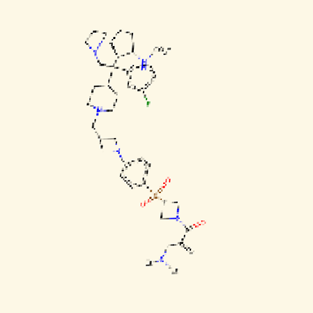 C=C(CN(CC)CC)C(=O)N1CC(S(=O)(=O)c2ccc(N3CC(CN4CCC([C@@](CN5CCC5)(c5cccc(F)c5)[C@H]5CCC[C@@H]5NC(=O)O)CC4)C3)cc2)C1